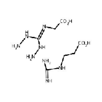 N=C(N)NCCC(=O)O.NNC(=NCC(=O)O)NN